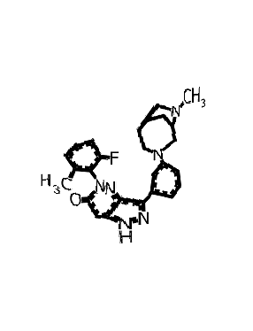 Cc1cccc(F)c1-n1nc2c(-c3cccc(N4CCC5CC(C4)N(C)C5)c3)n[nH]c2cc1=O